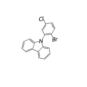 Clc1ccc(Br)c(-n2c3ccccc3c3ccccc32)c1